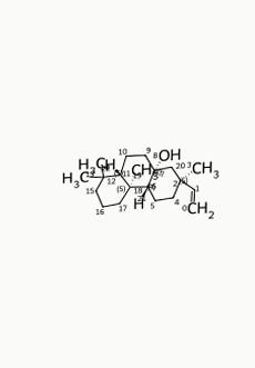 C=C[C@@]1(C)CC[C@H]2[C@@](O)(CC[C@H]3C(C)(C)CCC[C@@]32C)C1